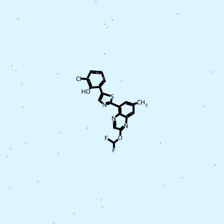 Cc1cc(-c2ncc(-c3cccc(Cl)c3O)s2)c2ncc(OC(F)F)nc2c1